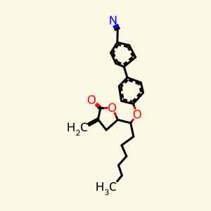 C=C1CC(C(CCCCCC)Oc2ccc(-c3ccc(C#N)cc3)cc2)OC1=O